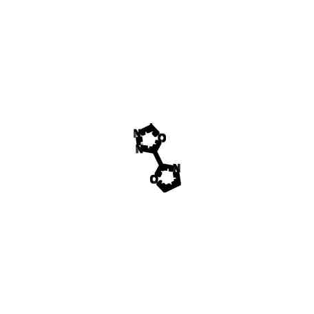 [c]1nnc(-c2ncco2)o1